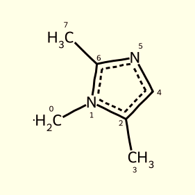 [CH2]n1c(C)cnc1C